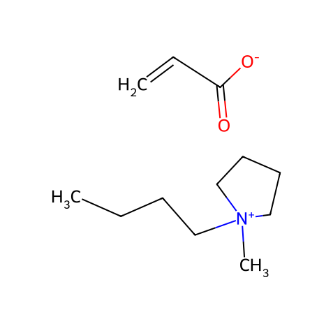 C=CC(=O)[O-].CCCC[N+]1(C)CCCC1